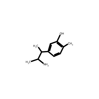 Cc1ccc(C(C)C(C)N)cc1O